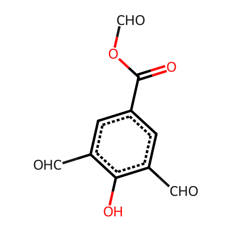 O=COC(=O)c1cc(C=O)c(O)c(C=O)c1